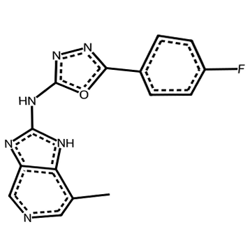 Cc1cncc2nc(Nc3nnc(-c4ccc(F)cc4)o3)[nH]c12